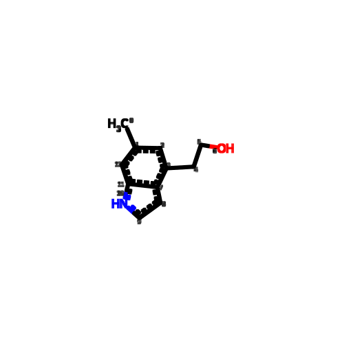 Cc1cc(CCO)c2cc[nH]c2c1